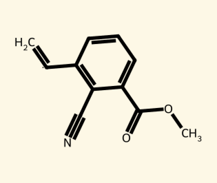 C=[C]c1cccc(C(=O)OC)c1C#N